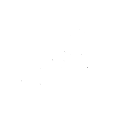 CC[C@@H](O/N=C(\C(=O)NC1C(=O)N2C(C(=O)O)=C(CSC3=NC(N)=CCN3C)CS[C@@H]12)c1csc(N)n1)C(=O)O